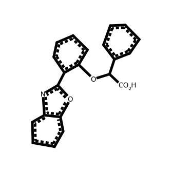 O=C(O)C(Oc1ccccc1-c1nc2ccccc2o1)c1ccccc1